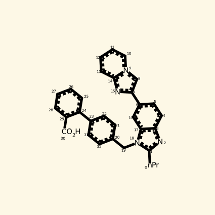 CCCc1nc2ccc(-c3cn4ccccc4n3)cc2n1Cc1ccc(-c2ccccc2C(=O)O)cc1